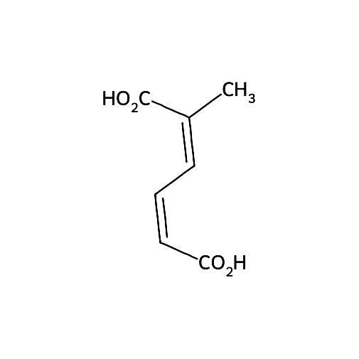 C/C(=C/C=C\C(=O)O)C(=O)O